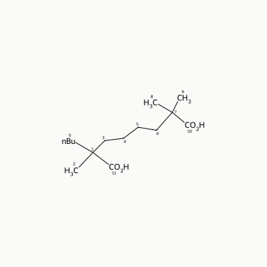 CCCCC(C)(CCCCC(C)(C)C(=O)O)C(=O)O